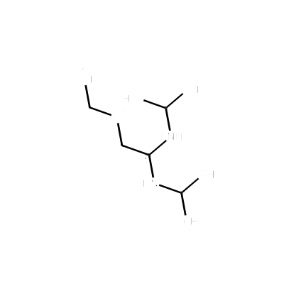 CC(C)NC(COC[SiH3])NC(C)C